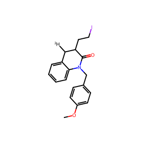 [2H]C1c2ccccc2N(Cc2ccc(OC)cc2)C(=O)C1CCI